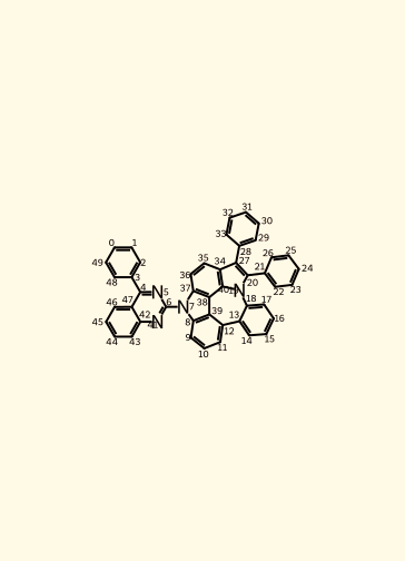 c1ccc(-c2nc(-n3c4cccc5c6ccccc6n6c(-c7ccccc7)c(-c7ccccc7)c7ccc3c(c54)c76)nc3ccccc23)cc1